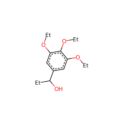 CCOc1cc(C(O)CC)cc(OCC)c1OCC